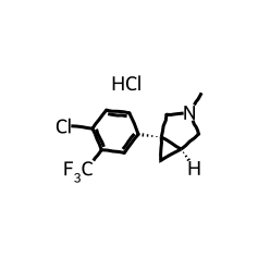 CN1C[C@H]2C[C@@]2(c2ccc(Cl)c(C(F)(F)F)c2)C1.Cl